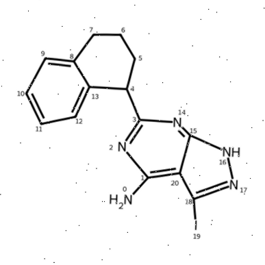 Nc1nc(C2CCCc3ccccc32)nc2[nH]nc(I)c12